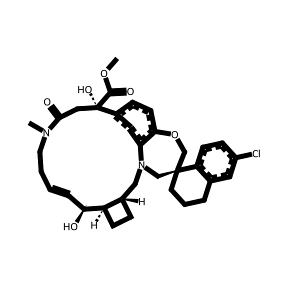 COC(=O)[C@]1(O)CC(=O)N(C)CC/C=C/[C@H](O)[C@@H]2CC[C@H]2CN2C[C@@]3(CCCc4cc(Cl)ccc43)COc3ccc1cc32